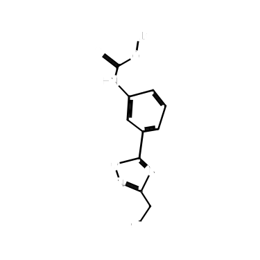 CC(C)(C)OC(=O)Nc1cccc(-c2nc(CCl)no2)c1